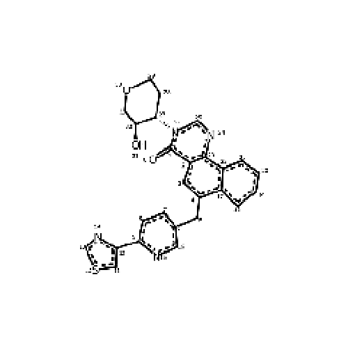 O=c1c2cc(Cc3ccc(-c4cscn4)nc3)c3ccccc3c2ncn1[C@H]1CCOC[C@@H]1O